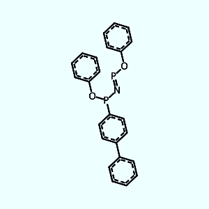 c1ccc(OP=NP(Oc2ccccc2)c2ccc(-c3ccccc3)cc2)cc1